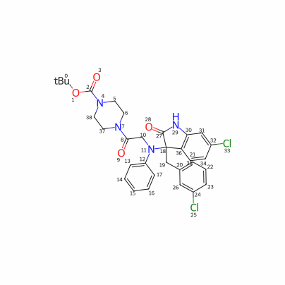 CC(C)(C)OC(=O)N1CCN(C(=O)CN(c2ccccc2)C2(Cc3cccc(Cl)c3)C(=O)Nc3cc(Cl)ccc32)CC1